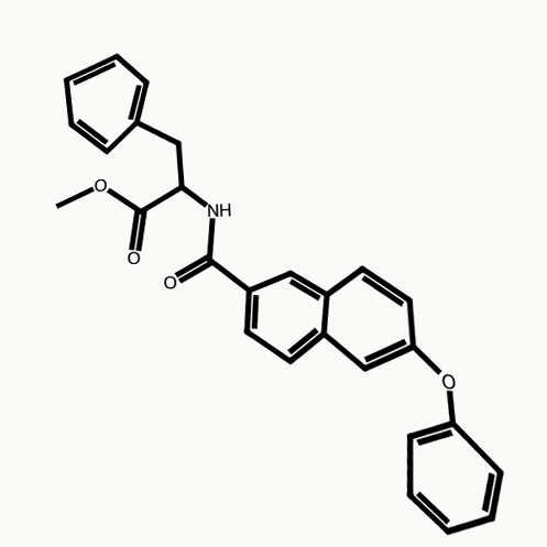 COC(=O)C(Cc1ccccc1)NC(=O)c1ccc2cc(Oc3ccccc3)ccc2c1